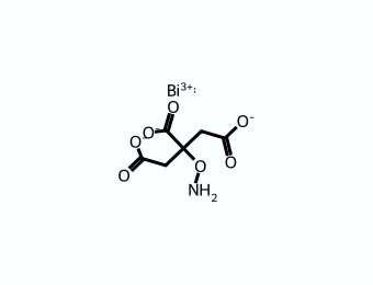 NOC(CC(=O)[O-])(CC(=O)[O-])C(=O)[O-].[Bi+3]